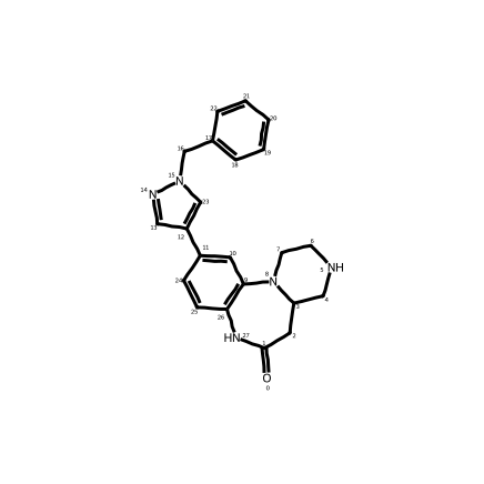 O=C1CC2CNCCN2c2cc(-c3cnn(Cc4ccccc4)c3)ccc2N1